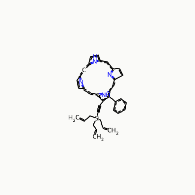 C=CC[Si](C#Cc1c(-c2ccccc2)c2cc3nc(cc4ccc(cc5nc(cc1[nH]2)C=C5)[nH]4)C=C3)(CC=C)CC=C